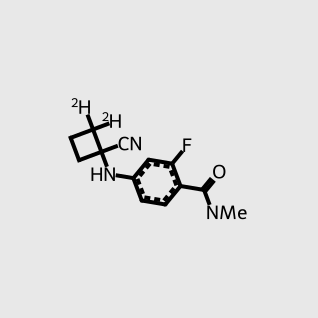 [2H]C1([2H])CCC1(C#N)Nc1ccc(C(=O)NC)c(F)c1